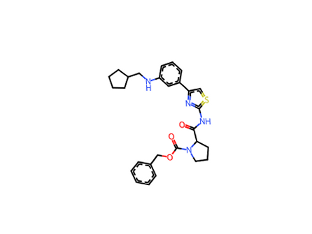 O=C(Nc1nc(-c2cccc(NCC3CCCC3)c2)cs1)C1CCCN1C(=O)OCc1ccccc1